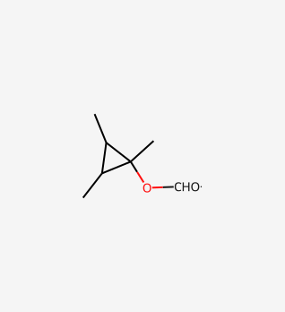 CC1C(C)C1(C)O[C]=O